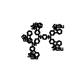 CC1(N(c2ccc3c(c2)c2ccccc2n3[Si](C)(C)C(C)(C)C)c2ccc3c(c2)c2ccccc2n3[Si](C)(C)C(C)(C)C)C=CC(N(c2ccc(N(c3ccc4c(c3)c3ccccc3n4[Si](C)(C)C(C)(C)C)c3ccc4c(c3)c3ccccc3n4[Si](C)(C)C(C)(C)C)cc2)c2ccc3c(c2)c2ccccc2n3[Si](C)(C)C(C)(C)C)=CC1